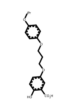 CC(C)Oc1ccc(OCCCOc2ccc(O)c(C(=O)O)c2)cc1